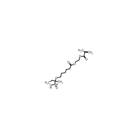 C=C(C)C(=O)OCCOC(=O)CCCCCOC(C)(CC)[PH](=O)O